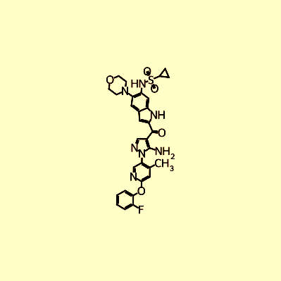 Cc1cc(Oc2ccccc2F)ncc1-n1ncc(C(=O)c2cc3cc(N4CCOCC4)c(NS(=O)(=O)C4CC4)cc3[nH]2)c1N